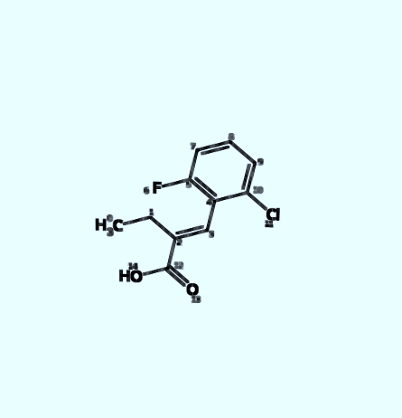 CCC(=Cc1c(F)cccc1Cl)C(=O)O